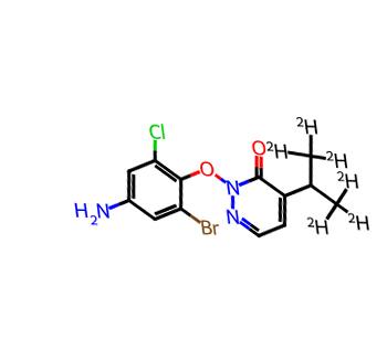 [2H]C([2H])([2H])C(c1ccnn(Oc2c(Cl)cc(N)cc2Br)c1=O)C([2H])([2H])[2H]